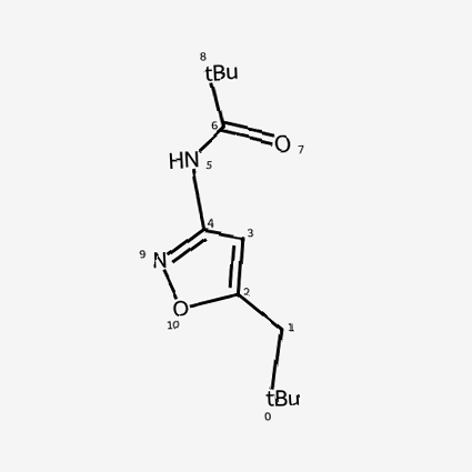 CC(C)(C)Cc1cc(NC(=O)C(C)(C)C)no1